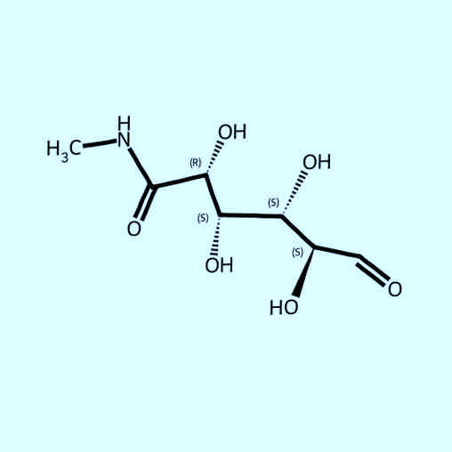 CNC(=O)[C@H](O)[C@@H](O)[C@H](O)[C@H](O)C=O